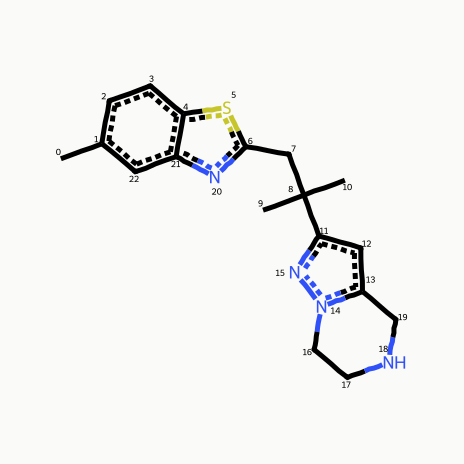 Cc1ccc2sc(CC(C)(C)c3cc4n(n3)CCNC4)nc2c1